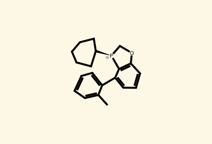 Cc1ccccc1-c1cccc2c1[P@@](C1CCCCC1)CO2